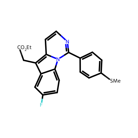 CCOC(=O)Cc1c2cc(F)ccc2n2c(-c3ccc(SC)cc3)nccc12